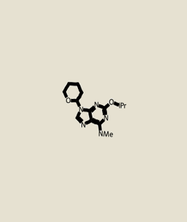 CNc1nc(OC(C)C)nc2c1ncn2C1CCCCO1